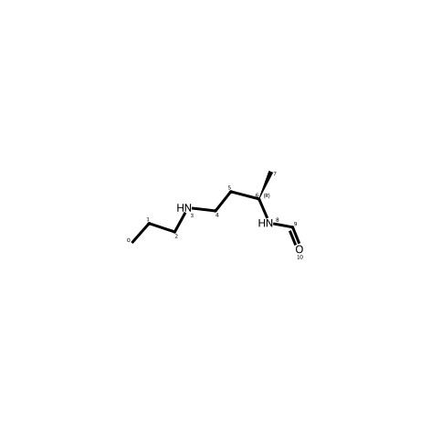 CCCNCC[C@@H](C)NC=O